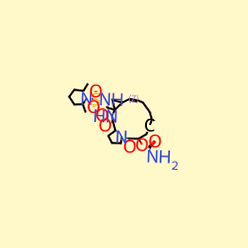 CC1CCCC(C)N1S(=O)(=O)NC(=O)C12CC1/C=C\CCCCCC(OC(N)=O)C(=O)N1CCCC1C(=O)N2